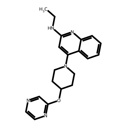 CCNc1cc(N2CCC(Oc3cnccn3)CC2)c2ccccc2n1